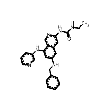 CCNC(=O)Nc1cc2cc(NCc3ccccc3)cc(Nc3cccnc3)c2cn1